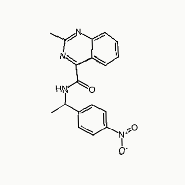 Cc1nc(C(=O)NC(C)c2ccc([N+](=O)[O-])cc2)c2ccccc2n1